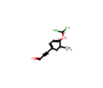 CC1CC(C#CC=O)=CC=C1OC(F)F